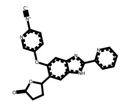 [C-]#[N+]c1ccc(Oc2cc3nc(-c4ccccn4)[nH]c3cc2C2CCC(=O)O2)cn1